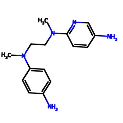 CN(CCN(C)c1ccc(N)cn1)c1ccc(N)cc1